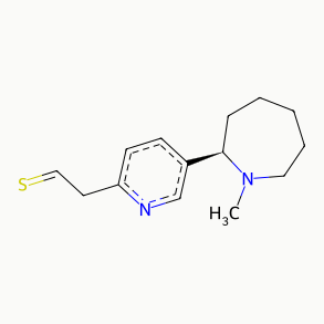 CN1CCCCC[C@@H]1c1ccc(CC=S)nc1